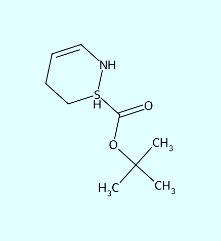 CC(C)(C)OC(=O)[SH]1CCC=CN1